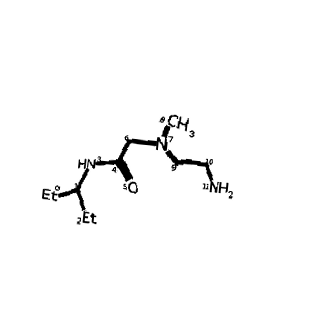 CCC(CC)NC(=O)CN(C)CCN